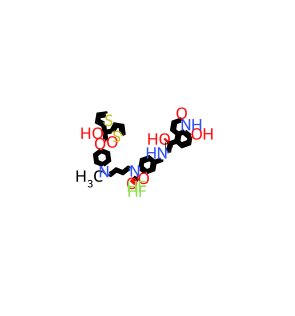 CN(CCCCn1c(=O)oc2cc(CNC[C@@H](O)c3ccc(O)c4[nH]c(=O)ccc34)ccc21)C1CCC(OC(=O)C(O)(c2cccs2)c2cccs2)CC1.F.F